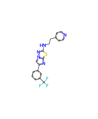 FC(F)(F)c1cccc(-c2cn3nc(NCCc4ccncc4)sc3n2)c1